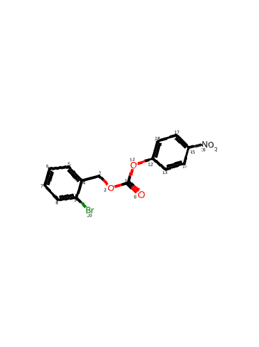 O=C(OCc1ccccc1Br)Oc1ccc([N+](=O)[O-])cc1